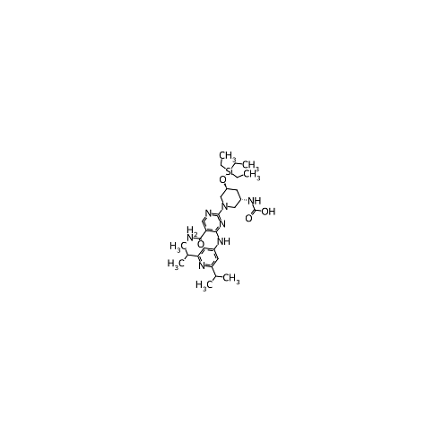 CC[Si](CC)(CC)O[C@H]1C[C@H](NC(=O)O)CN(c2ncc(C(N)=O)c(Nc3cc(C(C)C)nc(C(C)C)c3)n2)C1